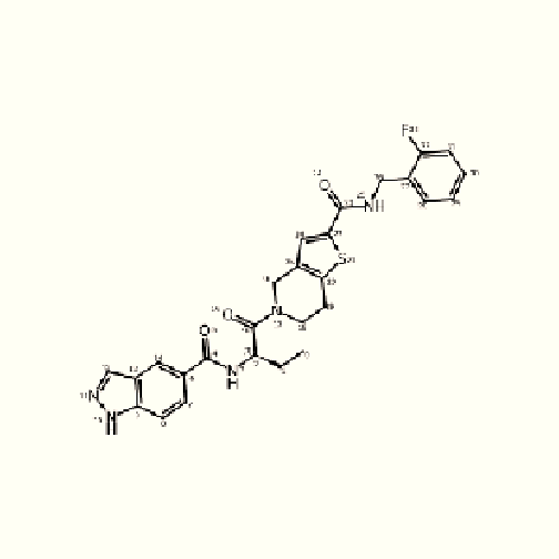 CC[C@@H](NC(=O)c1ccc2[nH]ncc2c1)C(=O)N1CCc2sc(C(=O)NCc3ccccc3F)cc2C1